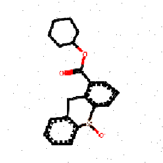 O=C(OC1CCCCC1)c1cccc2c1Cc1ccccc1[S+]2[O-]